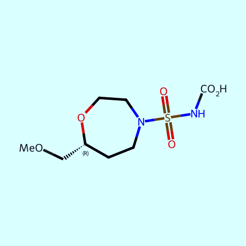 COC[C@H]1CCN(S(=O)(=O)NC(=O)O)CCO1